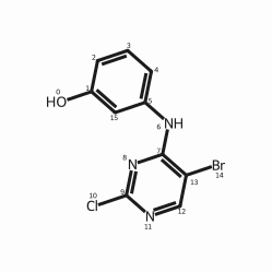 Oc1cccc(Nc2nc(Cl)ncc2Br)c1